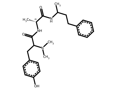 CC(CCc1ccccc1)NC(=O)[C@@H](C)NC(=O)C(Cc1ccc(O)cc1)N(C)C